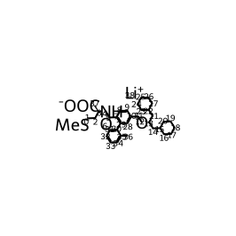 CSCC[C@H](NC(=O)c1ccc(COC(CC2CCCCC2)CC2CCCCC2)cc1-c1ccccc1C)C(=O)[O-].[Li+]